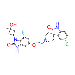 CC1(O)CC(n2c(=O)[nH]c3cc(OCCN4CCC5(CC4)C(=O)Nc4ccc(Cl)cc45)cc(F)c32)C1